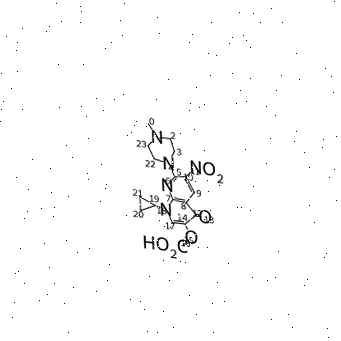 CN1CCN(c2nc3c(cc2[N+](=O)[O-])c(=O)c(OC(=O)O)cn3C2CC2)CC1